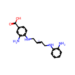 Nc1ccccc1NC/C=C/CNc1ccc(C(=O)O)cc1N